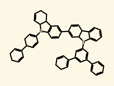 C1=CC(c2cc(-c3ccccc3)cc(N3c4ccccc4C4C=CC(c5ccc6c(c5)C5CCC=CC5N6C5=CCC(C6=CCCC=C6)C=C5)=CC43)c2)=CCC1